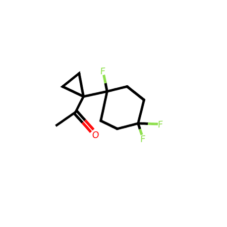 CC(=O)C1(C2(F)CCC(F)(F)CC2)CC1